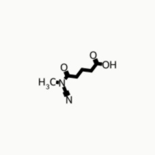 CN(C#N)C(=O)CCCC(=O)O